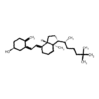 C=C1CC[C@H](O)C/C1=C/C=C1\CCC[C@]2(C)[C@@H]([C@H](C)CCCC(C)(C)C)CC[C@@H]12